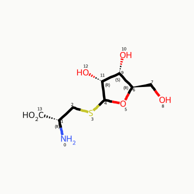 N[C@@H](CSC1O[C@H](CO)[C@@H](O)[C@H]1O)C(=O)O